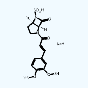 O=C(/C=C/c1ccc(OS)c(OS)c1)N1CC[C@@H]2[C@H]1C(=O)N2S(=O)(=O)O.[NaH]